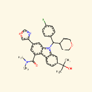 CN(C)C(=O)c1cc(-c2cocn2)cc2c1c1ccc(C(C)(C)O)cc1n2C(c1ccc(F)cc1)C1CCOCC1